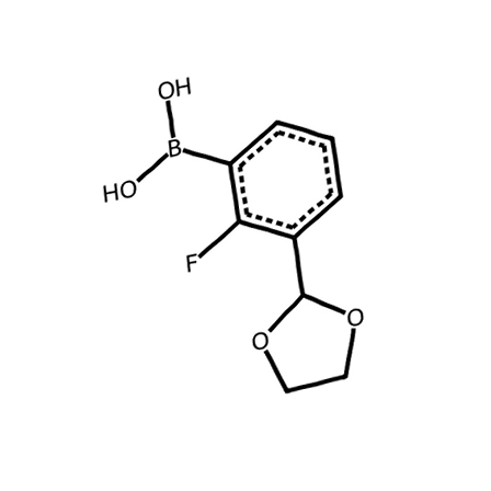 OB(O)c1cccc(C2OCCO2)c1F